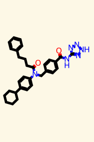 O=C(Nc1nn[nH]n1)c1ccc(CN(C(=O)CCCc2ccccc2)c2ccc(C3CCCCC3)cc2)cc1